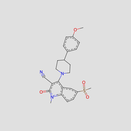 COc1ccc(C2CCN(c3c(C#N)c(=O)n(C)c4ccc(S(C)(=O)=O)cc34)CC2)cc1